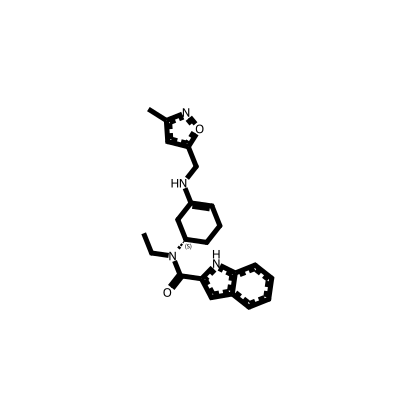 CCN(C(=O)c1cc2ccccc2[nH]1)[C@H]1CCC=C(NCc2cc(C)no2)C1